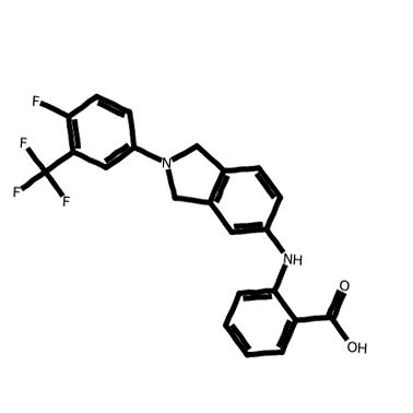 O=C(O)c1ccccc1Nc1ccc2c(c1)CN(c1ccc(F)c(C(F)(F)F)c1)C2